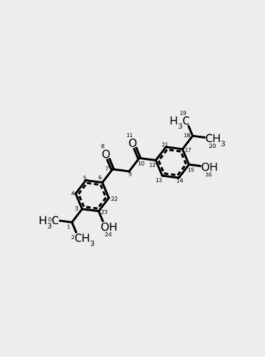 CC(C)c1ccc(C(=O)CC(=O)c2ccc(O)c(C(C)C)c2)cc1O